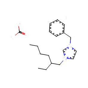 CCCCC(CC)Cn1cc[n+](Cc2ccccc2)c1.O=C([O-])[O-].[H+]